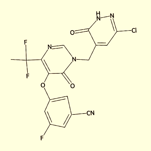 CC(F)(F)c1ncn(Cc2cc(Cl)n[nH]c2=O)c(=O)c1Oc1cc(F)cc(C#N)c1